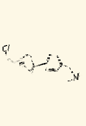 CN(C)Cc1ccc(-c2ccc(CCl)cc2)cc1